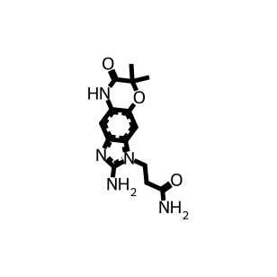 CC1(C)Oc2cc3c(cc2NC1=O)nc(N)n3CCC(N)=O